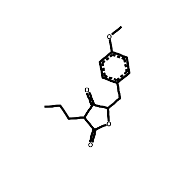 CCCC1C(=O)OC(Cc2ccc(OC)cc2)C1=O